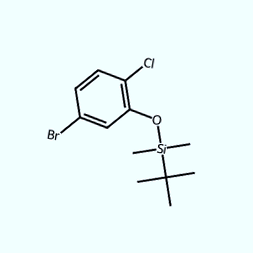 CC(C)(C)[Si](C)(C)Oc1cc(Br)ccc1Cl